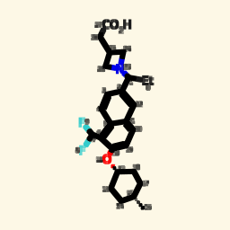 CCC(c1ccc2c(C(F)F)c(O[C@H]3CC[C@@H](C)CC3)ccc2c1)N1CC(CC(=O)O)C1